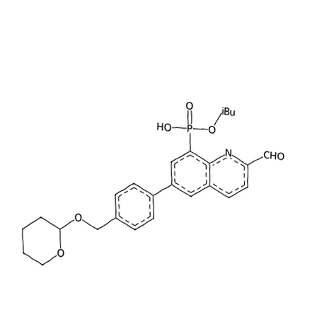 CCC(C)OP(=O)(O)c1cc(-c2ccc(COC3CCCCO3)cc2)cc2ccc(C=O)nc12